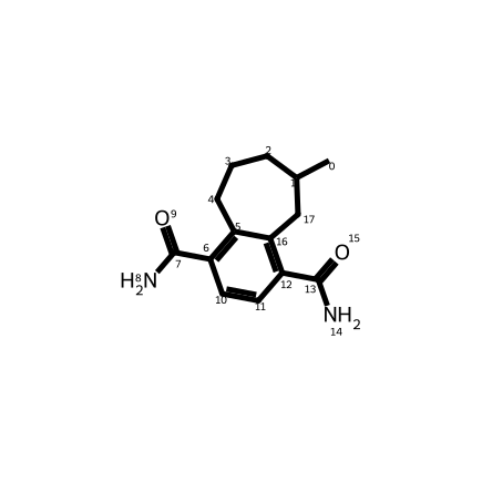 CC1CCCc2c(C(N)=O)ccc(C(N)=O)c2C1